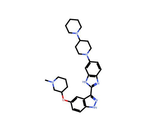 CN1CCCC(Oc2ccc3[nH]nc(-c4nc5ccc(N6CCC(N7CCCCC7)CC6)cc5[nH]4)c3c2)C1